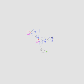 Cn1cc(-c2ccc(C(=O)NCC3CNCC(=O)N3)c(NCCc3cccc(F)c3)n2)cn1